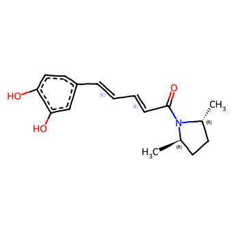 C[C@@H]1CC[C@@H](C)N1C(=O)/C=C/C=C/c1ccc(O)c(O)c1